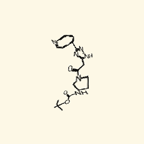 CC(C)(C)OC(=O)NC1CCN(C(=O)Cc2nc(-c3ccncc3)n[nH]2)C1